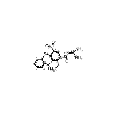 CCc1cc(Sc2ccccc2C)c([N+](=O)[O-])cc1C(=O)N=C(N)N